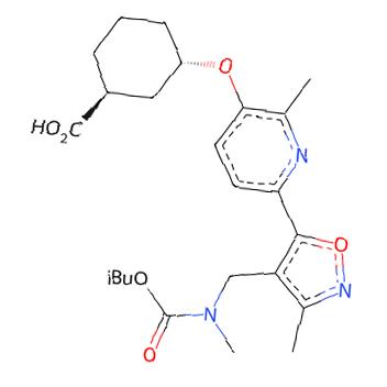 Cc1nc(-c2onc(C)c2CN(C)C(=O)OCC(C)C)ccc1O[C@H]1CCC[C@H](C(=O)O)C1